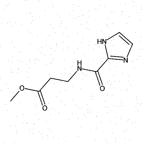 COC(=O)CCNC(=O)c1ncc[nH]1